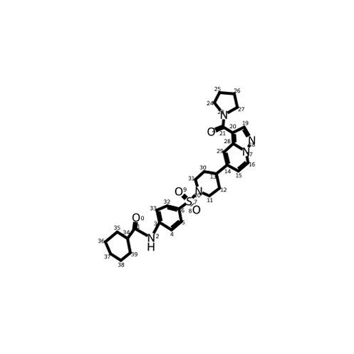 O=C(Nc1ccc(S(=O)(=O)N2CCC(c3ccn4ncc(C(=O)N5CCCC5)c4c3)CC2)cc1)C1CCCCC1